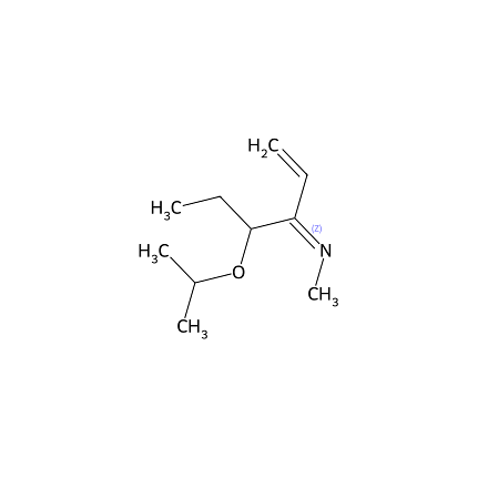 C=C/C(=N/C)C(CC)OC(C)C